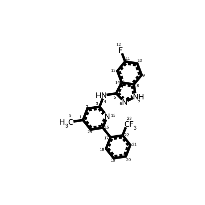 Cc1cc(Nc2n[nH]c3ccc(F)cc23)nc(-c2ccccc2C(F)(F)F)c1